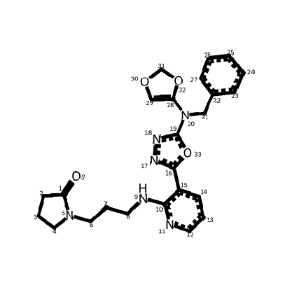 O=C1CCCN1CCCNc1ncccc1-c1nnc(N(Cc2ccccc2)C2=COCO2)o1